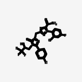 NC(=O)c1nc(Cn2nc(-c3ccc(Cl)cc3)n(CC(O)C(F)(F)F)c2=O)nn1-c1ccc(F)cc1Cl